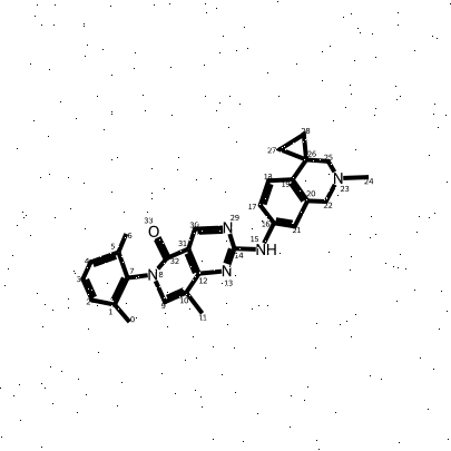 Cc1cccc(C)c1-n1cc(C)c2nc(Nc3ccc4c(c3)CN(C)CC43CC3)ncc2c1=O